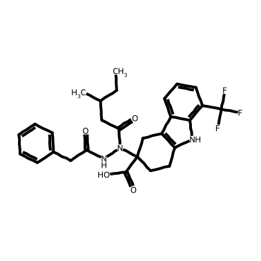 CCC(C)CC(=O)N(NC(=O)Cc1ccccc1)C1(C(=O)O)CCc2[nH]c3c(C(F)(F)F)cccc3c2C1